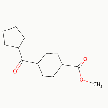 COC(=O)C1CCC(C(=O)C2CCCC2)CC1